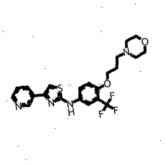 FC(F)(F)c1cc(Nc2nc(-c3cccnc3)cs2)ccc1OCCCN1CCOCC1